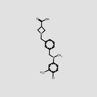 Cc1cc(N(C)Cc2cccc(CN3CC(C(=O)O)C3)c2)ccc1Cl